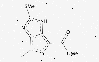 COC(=O)c1sc(C)c2nc(SC)[nH]c12